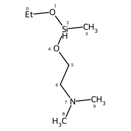 CCO[SiH](C)OCCN(C)C